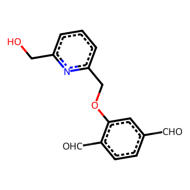 O=Cc1ccc(C=O)c(OCc2cccc(CO)n2)c1